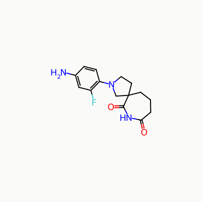 Nc1ccc(N2CCC3(CCCC(=O)NC3=O)C2)c(F)c1